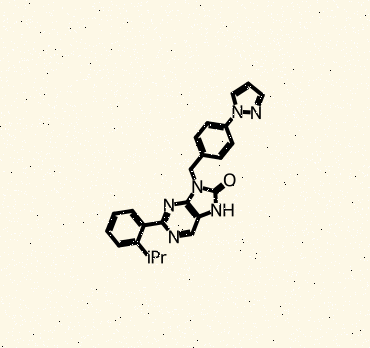 CC(C)c1ccccc1-c1ncc2[nH]c(=O)n(Cc3ccc(-n4cccn4)cc3)c2n1